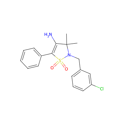 CC1(C)C(N)=C(c2ccccc2)S(=O)(=O)N1Cc1cccc(Cl)c1